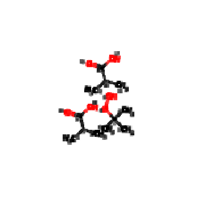 CC(C)(C)OO.CC(C)C(=O)O.CC(C)C(=O)O